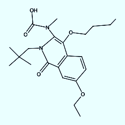 CCCCOc1c(N(C)C(=O)O)n(CC(C)(C)C)c(=O)c2cc(OCC)ccc12